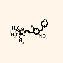 CC1(C)OB(/C=C/c2cc([N+](=O)[O-])c(CN3CCOCC3)cc2F)OC1(C)C